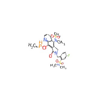 C=CPOc1c2c(c(N(C)S(C)(=O)=O)c3cccnc13)CN(Cc1ccc(F)cc1S(=O)(=O)N(C)C)C2=O